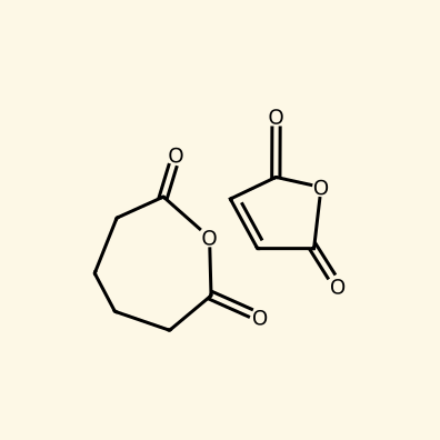 O=C1C=CC(=O)O1.O=C1CCCCC(=O)O1